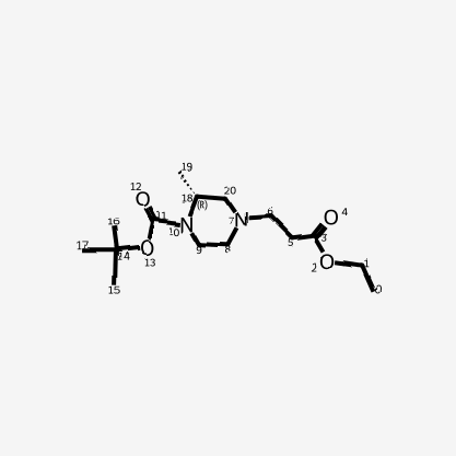 CCOC(=O)CCN1CCN(C(=O)OC(C)(C)C)[C@H](C)C1